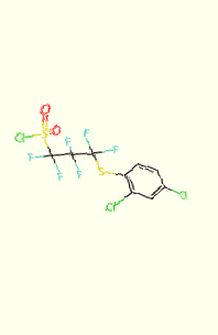 O=S(=O)(Cl)C(F)(F)C(F)(F)C(F)(F)Sc1ccc(Cl)cc1Cl